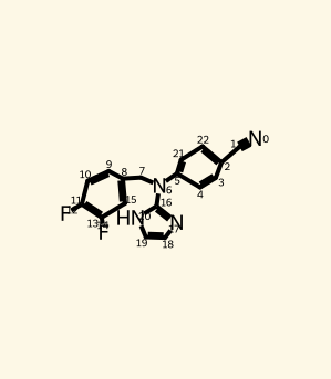 N#Cc1ccc(N(Cc2ccc(F)c(F)c2)c2ncc[nH]2)cc1